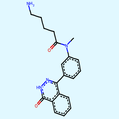 CN(C(=O)CCCCN)c1cccc(-c2n[nH]c(=O)c3ccccc23)c1